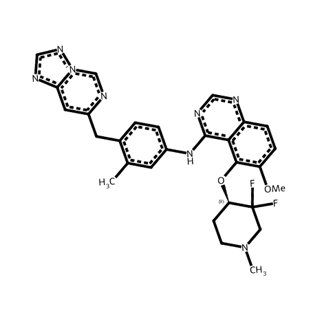 COc1ccc2ncnc(Nc3ccc(Cc4cc5ncnn5cn4)c(C)c3)c2c1O[C@@H]1CCN(C)CC1(F)F